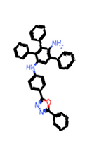 Nc1c(-c2ccccc2)cc(Nc2ccc(-c3nnc(-c4ccccc4)o3)cc2)c(-c2ccccc2)c1-c1ccccc1